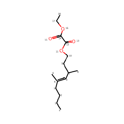 CCCCC(C)=CC(C)CCOC(=O)C(=O)OCC